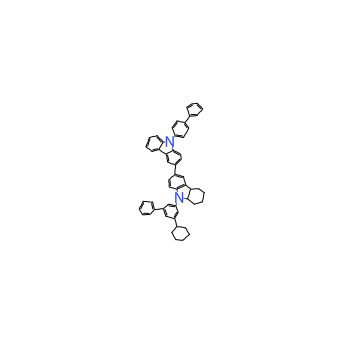 c1ccc(-c2ccc(-n3c4ccccc4c4cc(-c5ccc6c(c5)C5CCCCC5N6c5cc(-c6ccccc6)cc(C6CCCCC6)c5)ccc43)cc2)cc1